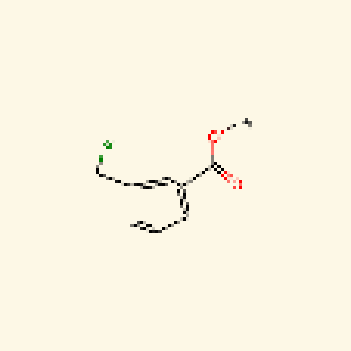 CC(C)OC(=O)c1cccc(CBr)c1